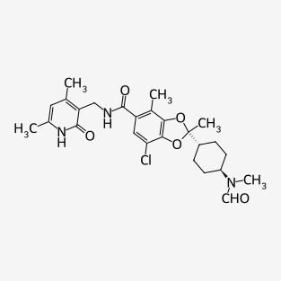 Cc1cc(C)c(CNC(=O)c2cc(Cl)c3c(c2C)OC(C)([C@H]2CC[C@H](N(C)C=O)CC2)O3)c(=O)[nH]1